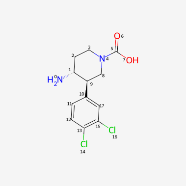 N[C@@H]1CCN(C(=O)O)C[C@H]1c1ccc(Cl)c(Cl)c1